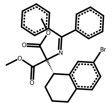 COC(=O)C(N=C(c1ccccc1)c1ccccc1)(C(=O)OC)[C@H]1CCCc2ccc(Br)cc21